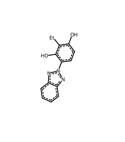 CCc1c(O)ccc(-n2nc3ccccc3n2)c1O